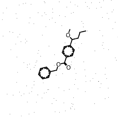 CCCC(OC)c1ccc(C(=O)OCc2ccccc2)cc1